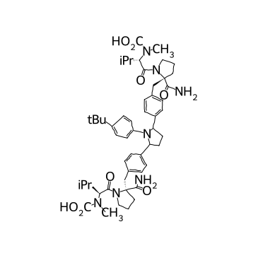 CC(C)[C@@H](C(=O)N1CCC[C@]1(Cc1ccc(C2CCC(c3ccc(C[C@]4(C(N)=O)CCCN4C(=O)[C@H](C(C)C)N(C)C(=O)O)cc3)N2c2ccc(C(C)(C)C)cc2)cc1)C(N)=O)N(C)C(=O)O